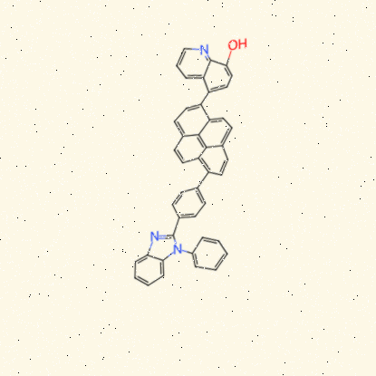 Oc1ccc(-c2ccc3ccc4c(-c5ccc(-c6nc7ccccc7n6-c6ccccc6)cc5)ccc5ccc2c3c54)c2cccnc12